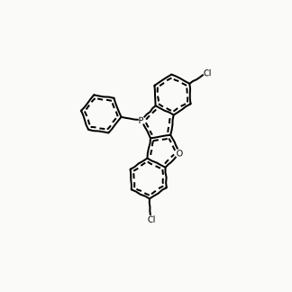 Clc1ccc2c(c1)oc1c3cc(Cl)ccc3p(-c3ccccc3)c21